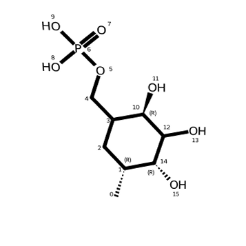 C[C@@H]1CC(COP(=O)(O)O)[C@@H](O)C(O)[C@@H]1O